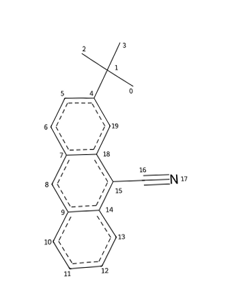 CC(C)(C)c1ccc2cc3ccccc3c(C#N)c2c1